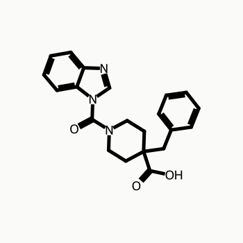 O=C(N1CCC(Cc2ccccc2)(C(=O)O)CC1)n1cnc2ccccc21